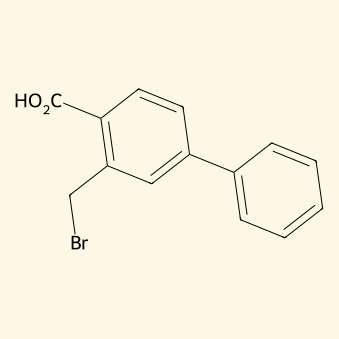 O=C(O)c1ccc(-c2ccccc2)cc1CBr